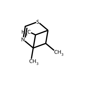 CC1C2SC=NC1(C)C2C